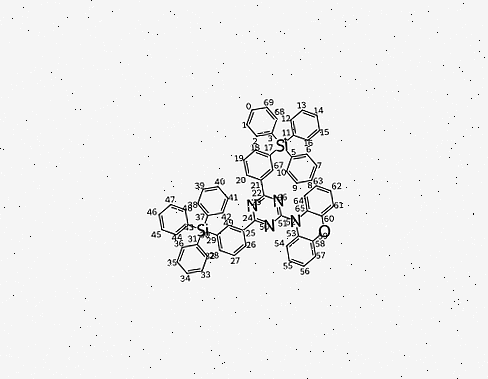 c1ccc([Si](c2ccccc2)(c2ccccc2)c2cccc(-c3nc(-c4cccc([Si](c5ccccc5)(c5ccccc5)c5ccccc5)c4)nc(N4c5ccccc5Oc5ccccc54)n3)c2)cc1